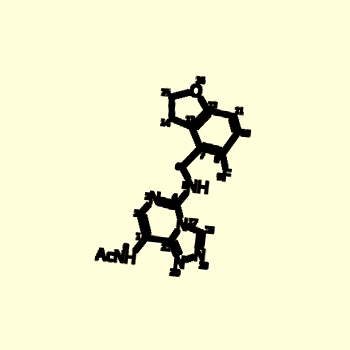 CC(=O)Nc1cnc(NCc2c(F)ccc3c2CCO3)n2cnnc12